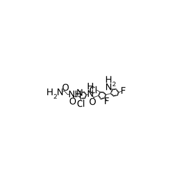 NC(=O)CNC(=O)c1ncc(NC(=O)c2cc(F)c(-c3ccc(F)cc3N)cc2Cl)cc1Cl